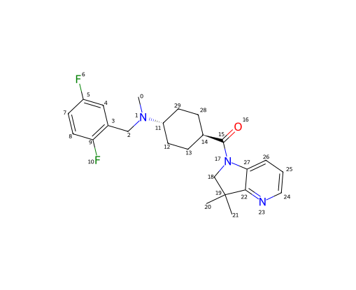 CN(Cc1cc(F)ccc1F)[C@H]1CC[C@H](C(=O)N2CC(C)(C)c3ncccc32)CC1